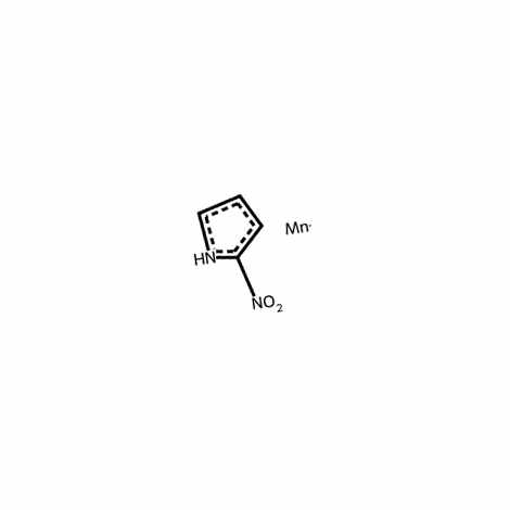 O=[N+]([O-])c1ccc[nH]1.[Mn]